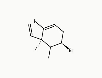 C=C[C@@]1(C)C(I)=CC[C@@H](Br)C1C